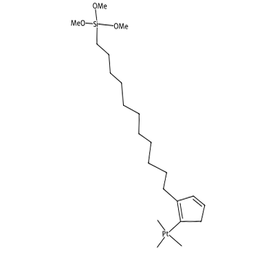 CO[Si](CCCCCCCCCCCC1=[C]([Pt]([CH3])([CH3])[CH3])CC=C1)(OC)OC